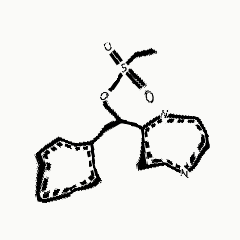 CS(=O)(=O)OC(c1ccccc1)c1cnccn1